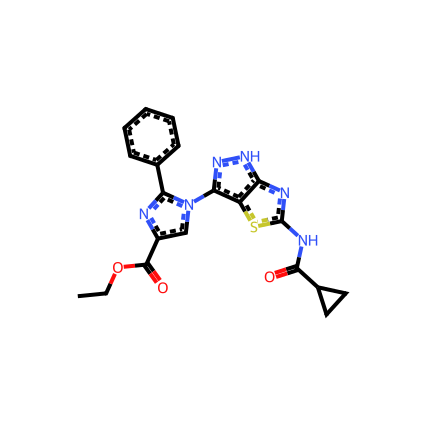 CCOC(=O)c1cn(-c2n[nH]c3nc(NC(=O)C4CC4)sc23)c(-c2ccccc2)n1